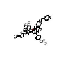 NC(=O)[C@@H]1CC(F)(F)C[N+]1(Cc1cc(-c2ccc(C(F)(F)F)cc2)nc(N2CCN(Cc3ccncc3)CC2)c1)S(=O)(=O)c1ccc(Cl)s1